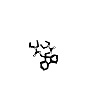 CCN(CC)C(=O)OCC1(CSC(=O)N(CC)CC)c2ccccc2-c2ccccc21